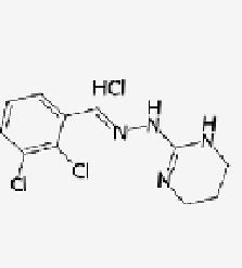 Cl.Clc1cccc(C=NNC2=NCCCN2)c1Cl